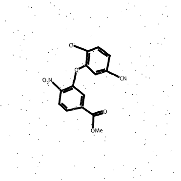 COC(=O)c1ccc([N+](=O)[O-])c(Oc2cc(C#N)ccc2Cl)c1